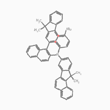 CC(C)(C)c1ccc(N(c2ccc3c(c2)-c2ccc4ccccc4c2C3(C)C)c2ccc3ccccc3c2-c2ccc3c(c2)C(C)(C)c2ccccc2-3)cc1